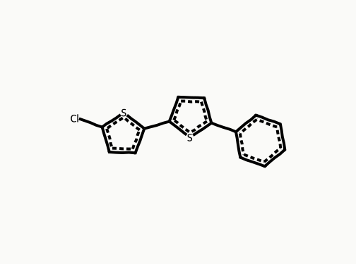 Clc1ccc(-c2ccc(-c3ccccc3)s2)s1